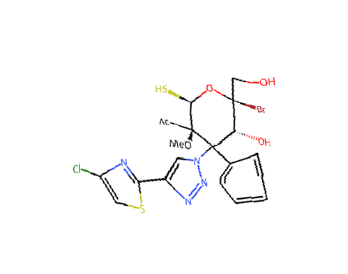 CO[C@@]1(C(C)=O)[C@@H](S)O[C@](Br)(CO)[C@H](O)C1(c1ccccc1)n1cc(-c2nc(Cl)cs2)nn1